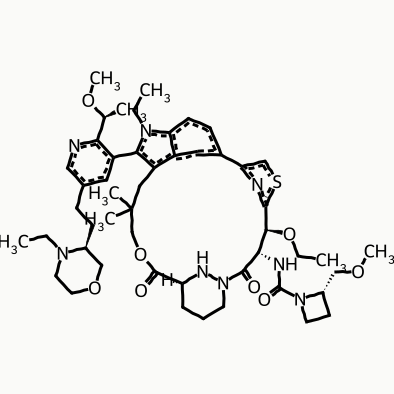 CCO[C@@H]1c2nc(cs2)-c2ccc3c(c2)c(c(-c2cc(CC[C@H]4COCCN4CC)cnc2[C@H](C)OC)n3CC)CC(C)(C)COC(=O)[C@@H]2CCCN(N2)C(=O)[C@H]1NC(=O)N1CC[C@H]1COC